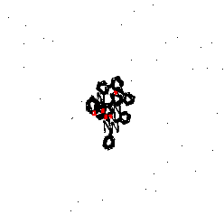 c1ccc(-c2cccc(-c3cccc(-n4c5ccccc5c5ccc6c(c7ccccc7n6-c6ccccc6-c6nc(-c7ccccc7)nc(-c7ccccc7)n6)c54)c3)c2)cc1